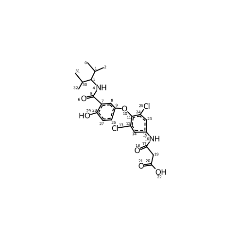 CC(C)C(NC(=O)c1cc(Oc2c(Cl)cc(NC(=O)CC(=O)O)cc2Cl)ccc1O)C(C)C